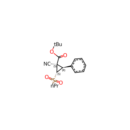 CCCS(=O)(=O)[C@H]1[C@H](c2ccccc2)[C@]1(C#N)C(=O)OC(C)(C)C